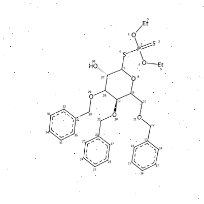 CCOP(=S)(OCC)SC1OC(COCc2ccccc2)[C@@H](OCc2ccccc2)C(OCc2ccccc2)[C@@H]1O